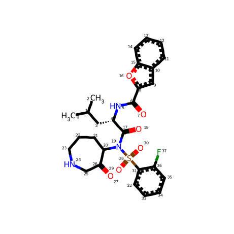 CC(C)C[C@H](NC(=O)c1cc2ccccc2o1)C(=O)N(C1CCCNCC1=O)S(=O)(=O)c1ccccc1F